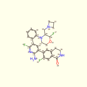 Nc1nc(F)c(-c2ccccc2N2CCOC(F)C2CN2CCC2)cc1-c1cc2c(cc1F)C(=O)NCC2